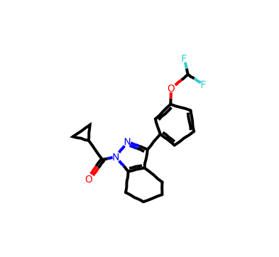 O=C(C1CC1)n1nc(-c2cccc(OC(F)F)c2)c2c1CCCC2